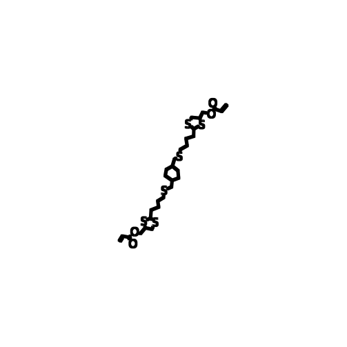 C=CC(=O)OCC1CSC(CCCCSCC2CCC(CSCCCCC3SCC(COC(=O)C=C)S3)CC2)S1